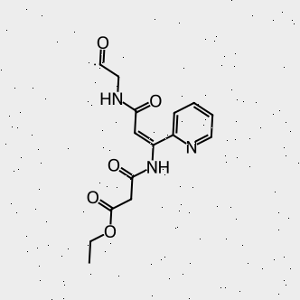 CCOC(=O)CC(=O)NC(=CC(=O)NC[C]=O)c1ccccn1